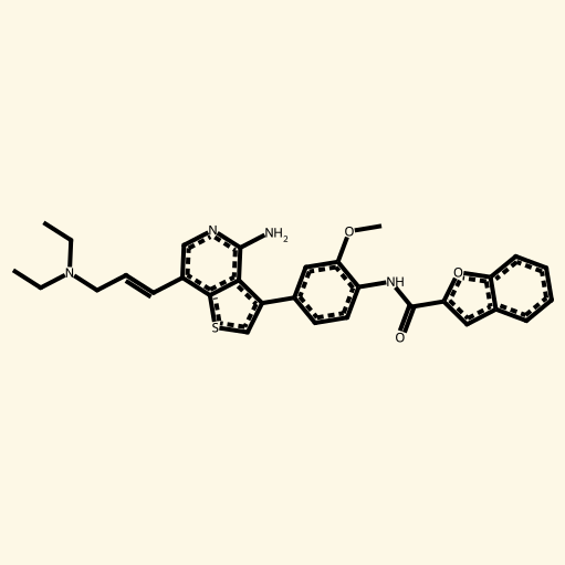 CCN(CC)CC=Cc1cnc(N)c2c(-c3ccc(NC(=O)c4cc5ccccc5o4)c(OC)c3)csc12